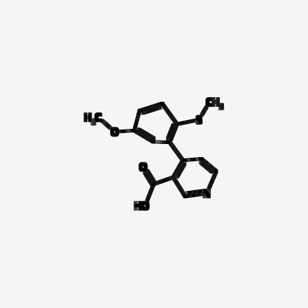 COc1ccc(SC)c(-c2ccncc2C(=O)O)c1